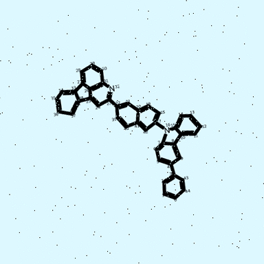 c1ccc(-c2ccc3c(c2)c2ccccc2n3-c2ccc3cc(-c4cc5c6c(cccc6n4)-c4ccccc4-5)ccc3c2)cc1